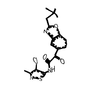 Cc1nsc(NC(=O)C(=O)c2ccc3oc(CC(C)(C)C)nc3c2)c1Cl